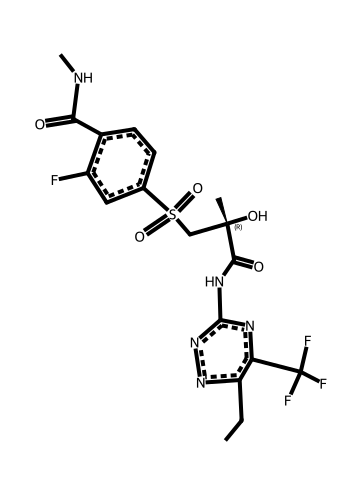 CCc1nnc(NC(=O)[C@@](C)(O)CS(=O)(=O)c2ccc(C(=O)NC)c(F)c2)nc1C(F)(F)F